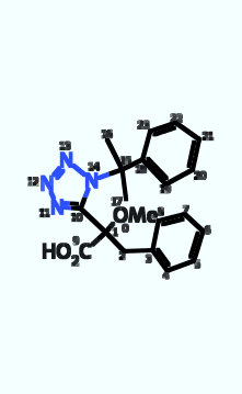 COC(Cc1ccccc1)(C(=O)O)c1nnnn1C(C)(C)c1ccccc1